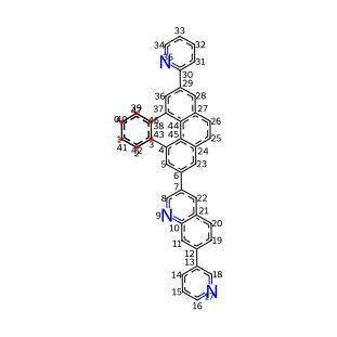 c1ccc(-c2cc(-c3cnc4cc(-c5cccnc5)ccc4c3)cc3ccc4cc(-c5ccccn5)cc(-c5ccccc5)c4c23)cc1